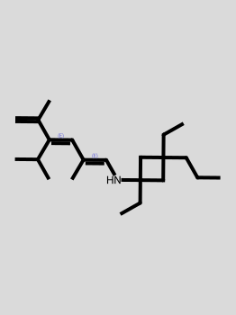 C=C(C)/C(=C/C(C)=C/NC1(CC)CC(CC)(CCC)C1)C(C)C